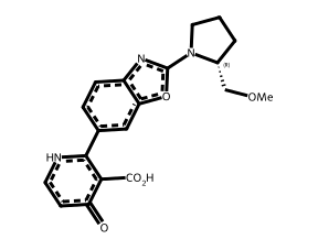 COC[C@H]1CCCN1c1nc2ccc(-c3[nH]ccc(=O)c3C(=O)O)cc2o1